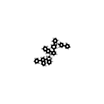 c1ccc(-c2ccc(-n3c4ccccc4c4ccc(-c5cccc6c5c5cc7ccccc7cc5n6-c5nc(-c6ccc(-c7ccccc7)c7ccccc67)c6ccccc6n5)cc43)cc2)cc1